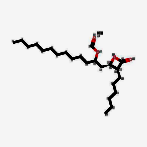 CCCCCCCCCCCC(C[C@@H]1OC(=O)[C@H]1CCCCCC)OC=O.[HH]